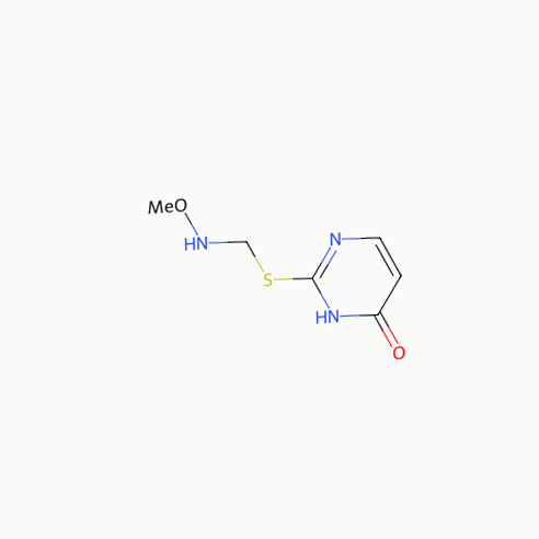 CONCSc1nccc(=O)[nH]1